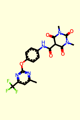 Cc1cc(C(F)(F)F)nc(Oc2ccc(NC(=O)C3C(=O)N(C)C(=O)N(C)C3=O)cc2)n1